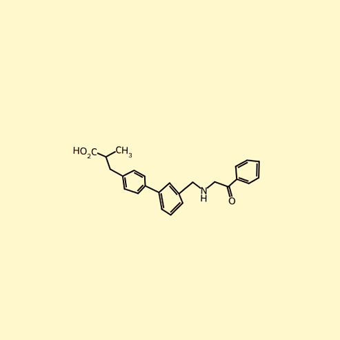 CC(Cc1ccc(-c2cccc(CNCC(=O)c3ccccc3)c2)cc1)C(=O)O